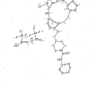 O=C(Nc1ccccc1)N1CCC(COc2ccc3cc2CCc2cncc(c2)Nc2ncc(Cl)c(n2)N3)CC1.O=C(O)C(F)(F)F.O=C(O)C(F)(F)F